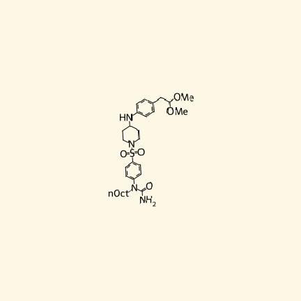 CCCCCCCCN(C(N)=O)c1ccc(S(=O)(=O)N2CCC(Nc3ccc(CC(OC)OC)cc3)CC2)cc1